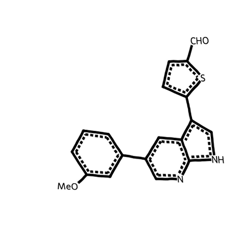 COc1cccc(-c2cnc3[nH]cc(-c4ccc(C=O)s4)c3c2)c1